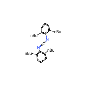 CCCCc1cccc(CCCC)c1N=C=Nc1c(CCCC)cccc1CCCC